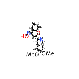 COc1cc2cnc(-c3c/c(=N\O)c4ccccc4o3)cc2cc1OC